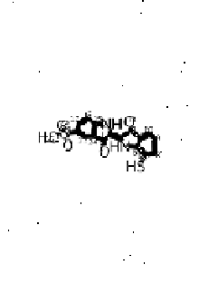 O=C1/C(=C2\Nc3c(S)cccc3C2=O)Nc2ccc(S(=O)(=O)O)cc21